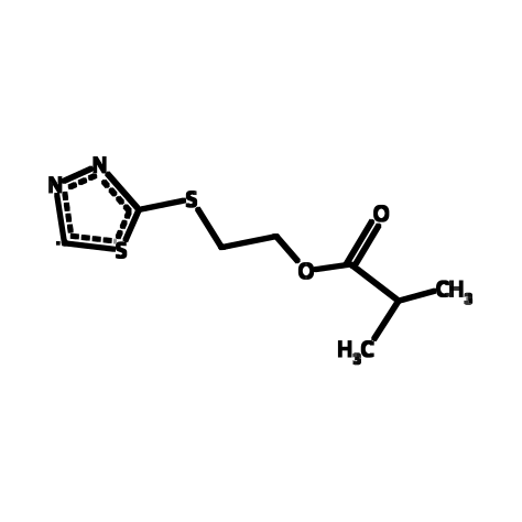 CC(C)C(=O)OCCSc1nn[c]s1